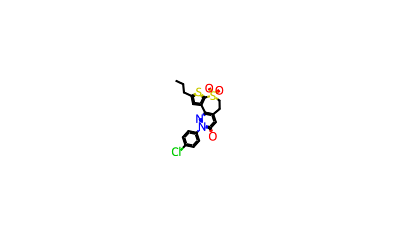 CCCc1cc2c(s1)S(=O)(=O)CCc1cc(=O)n(-c3ccc(Cl)cc3)nc1-2